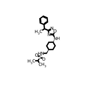 CC(c1ccccc1)c1noc(N[C@H]2CC[C@H](CNS(=O)(=O)C(C)C)CC2)n1